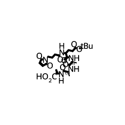 C[C@H](NC(=O)[C@H](C)NC(=O)[C@H](C)NC(=O)C(CCC(=O)OC(C)(C)C)NC(=O)CCCN1C(=O)C=CC1=O)C(=O)O